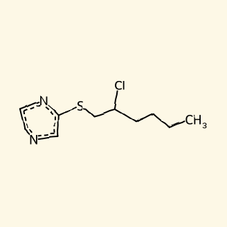 CCCCC(Cl)CSc1cnccn1